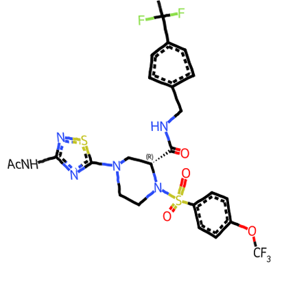 CCC(F)(F)c1ccc(CNC(=O)[C@H]2CN(c3nc(NC(C)=O)ns3)CCN2S(=O)(=O)c2ccc(OC(F)(F)F)cc2)cc1